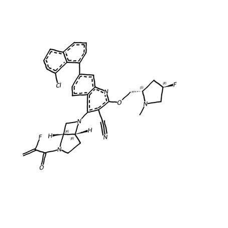 C=C(F)C(=O)N1CC[C@@H]2[C@H]1CN2c1c(C#N)c(OC[C@@H]2C[C@@H](F)CN2C)nc2cc(-c3cccc4cccc(Cl)c34)ccc12